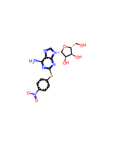 Nc1nc(Sc2ccc([N+](=O)[O-])cc2)nc2c1ncn2[C@@H]1O[C@H](CO)[C@@H](O)[C@H]1O